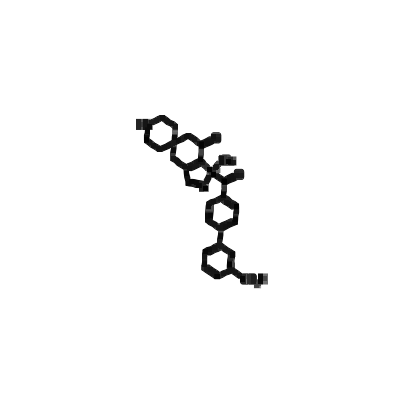 CC(C)(C)[N+]1(C(=O)c2ccc(-c3cccc(C(=O)O)c3)cc2)N=CC2=C1C(=O)CC1(CCNCC1)C2